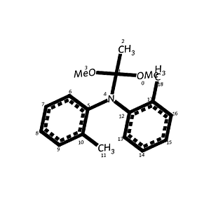 COC(C)(OC)N(c1ccccc1C)c1ccccc1C